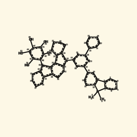 CC1(C)c2ccccc2-c2cc(-c3nc(-c4ccccc4)nc(-n4c5ccccc5c5c4ccc4c6ccccc6n(-c6c(O)c(O)c(O)c(O)c6O)c45)n3)ccc21